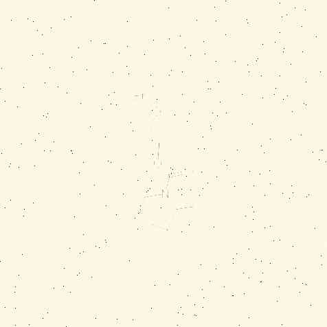 CCOCCOC(=O)N1C(C)CCCC1C